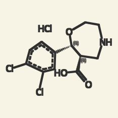 Cl.O=C(O)[C@@H]1CNCCO[C@H]1c1ccc(Cl)c(Cl)c1